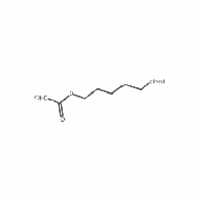 CCCCCCCCCCOC(=O)C=O